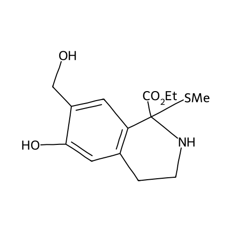 CCOC(=O)C1(SC)NCCc2cc(O)c(CO)cc21